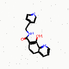 O=C(NCc1ccncc1)c1ccc2cccnc2c1O